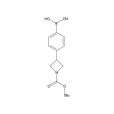 CC(C)(C)OC(=O)N1CC(c2ccc(B(O)O)cc2)C1